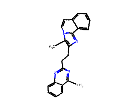 Cc1nc(CCc2nc3c4ccccc4ccn3c2C)nc2ccccc12